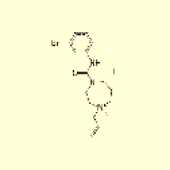 C=CC[N+]1(C)CCCN(C(=O)Nc2cccc(Br)c2)CC1.[I-]